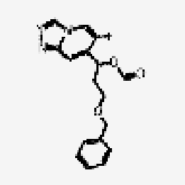 O=COC(CCOCc1ccccc1)c1cc2nncn2cc1F